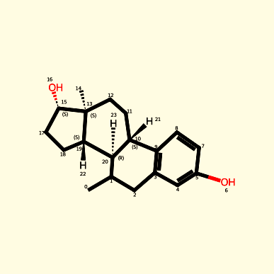 CC1Cc2cc(O)ccc2[C@H]2CC[C@]3(C)[C@@H](O)CC[C@H]3[C@H]12